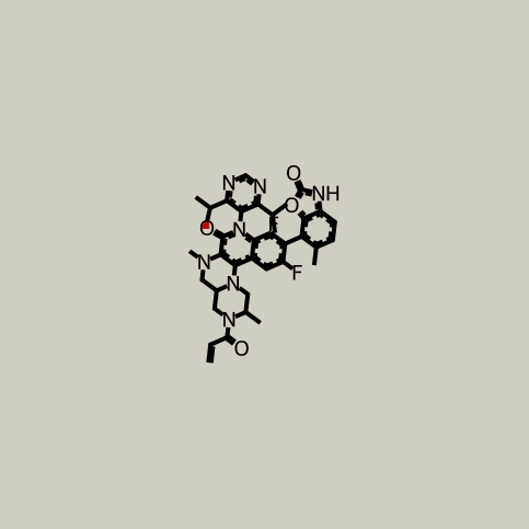 C=CC(=O)N1CC2CN(C)c3c(c4cc(F)c(-c5c(C)ccc6[nH]c(=O)oc56)c(F)c4n(-c4c(C(C)C)ncnc4C(C)C)c3=O)N2CC1C